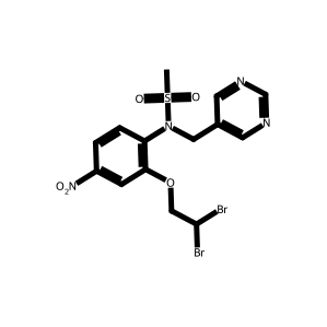 CS(=O)(=O)N(Cc1cncnc1)c1ccc([N+](=O)[O-])cc1OCC(Br)Br